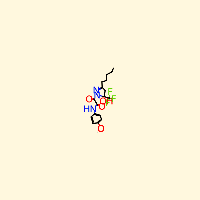 CCCCCC1=NN(C(=O)C(=O)Nc2ccc(OC)cc2)C(O)(C(F)(F)F)C1